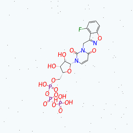 O=c1ccn([C@@H]2O[C@H](COP(=O)(O)OP(=O)(O)OP(=O)(O)O)[C@H](O)C2O)c(=O)n1Cc1noc2cccc(F)c12